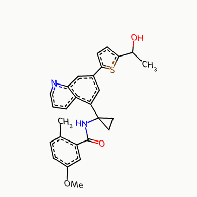 COc1ccc(C)c(C(=O)NC2(c3cc(-c4ccc(C(C)O)s4)cc4ncccc34)CC2)c1